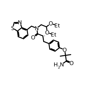 CCOC(CN(Cc1cccc2scnc12)C(=O)[CH]Cc1ccc(OC(C)(C)C(N)=O)cc1)OCC